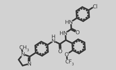 CN1CCN=C1c1ccc(NC(=O)C(NC(=O)Nc2ccc(Cl)cc2)c2ccccc2OC(F)(F)F)cc1